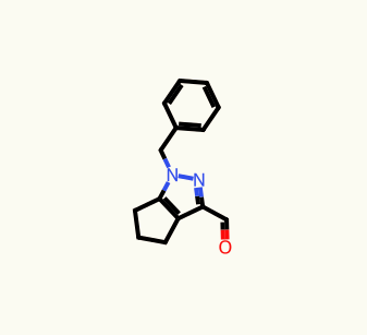 O=Cc1nn(Cc2ccccc2)c2c1CCC2